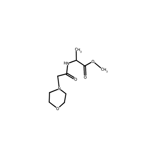 COC(=O)C(C)NC(=O)CN1CCOCC1